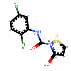 O=C(Nc1cc(Cl)ccc1Cl)n1sccc1=O